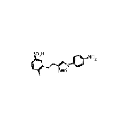 Cc1ccc(S(=O)(=O)O)cc1CCc1cn(-c2ccc([N+](=O)[O-])cc2)nn1